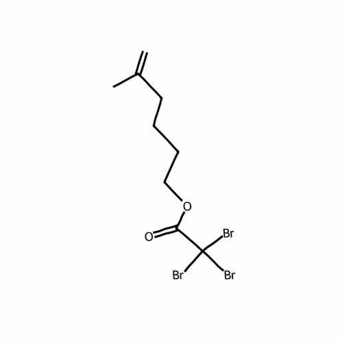 C=C(C)CCCCOC(=O)C(Br)(Br)Br